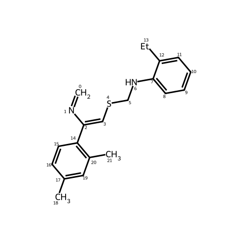 C=N/C(=C\SCNc1ccccc1CC)c1ccc(C)cc1C